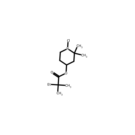 CCC(C)(C)C(=O)OC1CCN(Cl)C(C)(C)C1